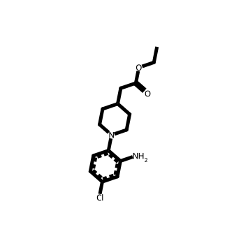 CCOC(=O)CC1CCN(c2ccc(Cl)cc2N)CC1